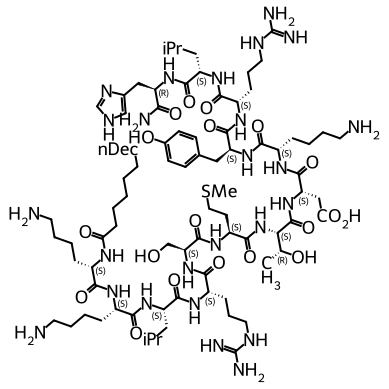 CCCCCCCCCCCCCCCC(=O)N[C@@H](CCCCN)C(=O)N[C@@H](CCCCN)C(=O)N[C@@H](CC(C)C)C(=O)N[C@@H](CCCNC(=N)N)C(=O)N[C@@H](CO)C(=O)N[C@@H](CCSC)C(=O)N[C@H](C(=O)N[C@@H](CC(=O)O)C(=O)N[C@@H](CCCCN)C(=O)N[C@@H](Cc1ccc(O)cc1)C(=O)N[C@@H](CCCNC(=N)N)C(=O)N[C@@H](CC(C)C)C(=O)N[C@H](Cc1c[nH]cn1)C(N)=O)[C@@H](C)O